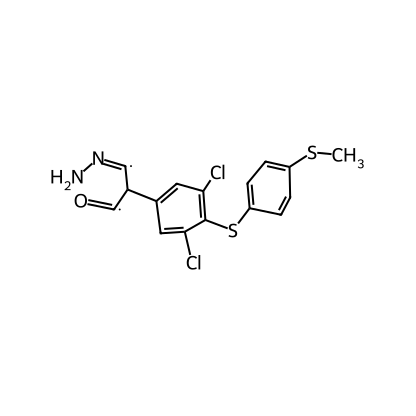 CSc1ccc(Sc2c(Cl)cc(C([C]=O)/[C]=N\N)cc2Cl)cc1